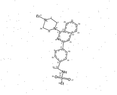 CCN1CCN(c2nc(-c3ccc(C(C)NS(=O)(=O)CC)cc3)cc3ccccc23)CC1